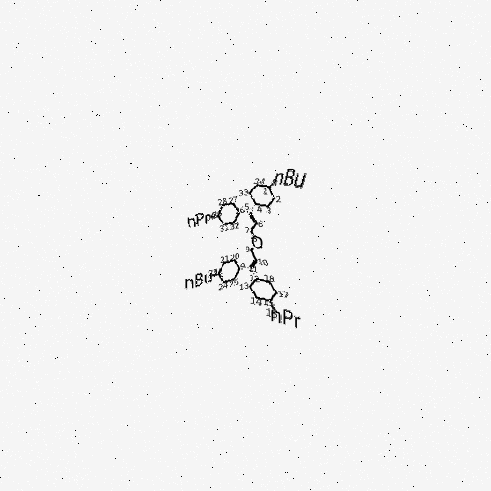 CCCC[C@H]1CC[C@H](C(=CCOCC=C([C@H]2CC[C@H](CCC)CC2)[C@H]2CC[C@H](CCCC)CC2)[C@H]2CC[C@H](CCC)CC2)CC1